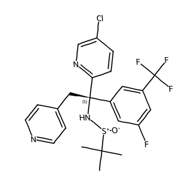 CC(C)(C)[S+]([O-])N[C@@](Cc1ccncc1)(c1cc(F)cc(C(F)(F)F)c1)c1ccc(Cl)cn1